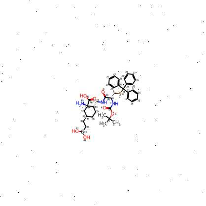 CC(C)(C)OC(=O)N[C@@H](CSC(c1ccccc1)(c1ccccc1)c1ccccc1)C(=O)NC[C@@H]1CC[C@@H](CCB(O)O)C[C@]1(N)C(=O)O